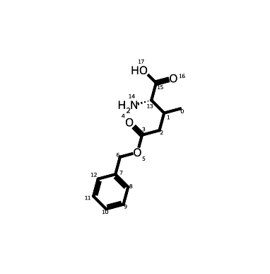 CC(CC(=O)OCc1ccccc1)[C@H](N)C(=O)O